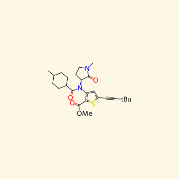 COC(=O)c1sc(C#CC(C)(C)C)cc1N(C(=O)C1CCC(C)CC1)[C@H]1CCN(C)C1=O